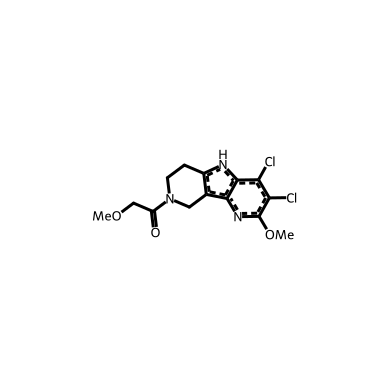 COCC(=O)N1CCc2[nH]c3c(Cl)c(Cl)c(OC)nc3c2C1